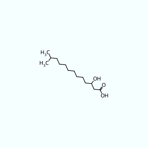 CC(C)CCCCCCCCC(O)CC(=O)O